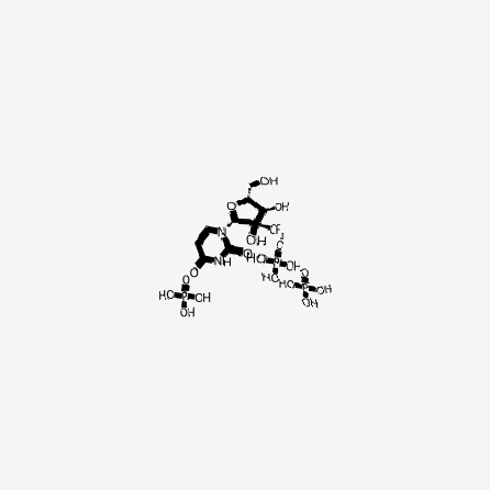 O=P(O)(O)O.O=P(O)(O)O.O=P(O)(O)O.O=c1ccn([C@@H]2O[C@H](CO)[C@@H](O)[C@@]2(O)C(F)(F)F)c(=O)[nH]1